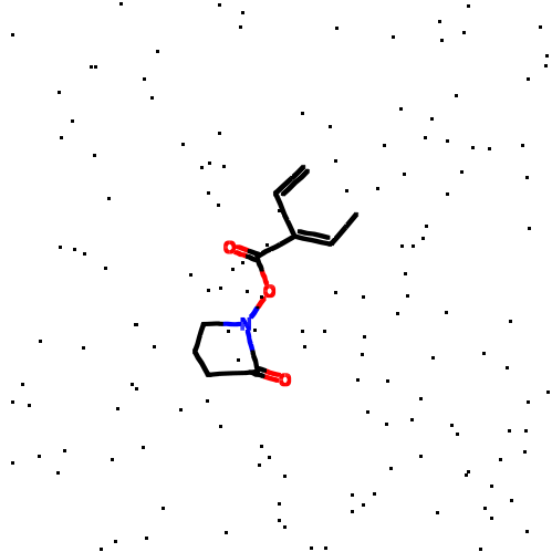 C=CC(=CC)C(=O)ON1CCCC1=O